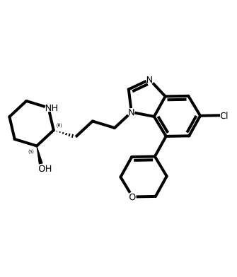 O[C@H]1CCCN[C@@H]1CCCn1cnc2cc(Cl)cc(C3=CCOCC3)c21